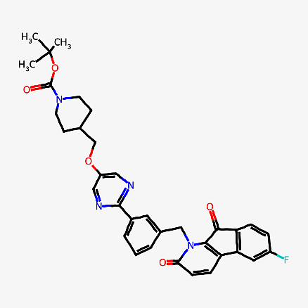 CC(C)(C)OC(=O)N1CCC(COc2cnc(-c3cccc(Cn4c5c(ccc4=O)-c4cc(F)ccc4C5=O)c3)nc2)CC1